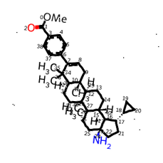 COC(=O)c1ccc(C2=CC[C@]3(C)[C@H]4CC[C@@H]5[C@H]6[C@H](C7CC7)CC[C@]6(N)CC[C@@]5(C)[C@]4(C)CC[C@H]3C2(C)C)cc1